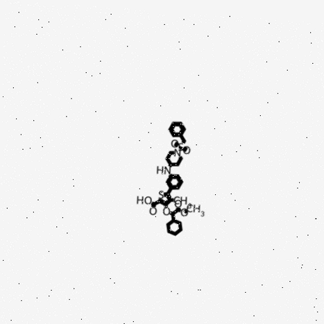 COC(=O)C(Oc1c(C(=O)O)sc(-c2cccc(NC3CCN(S(=O)(=O)Cc4ccccc4)CC3)c2)c1C)C1CCCCC1